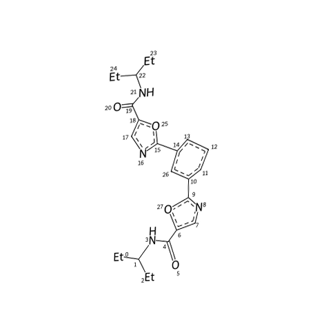 CCC(CC)NC(=O)c1cnc(-c2cccc(-c3ncc(C(=O)NC(CC)CC)o3)c2)o1